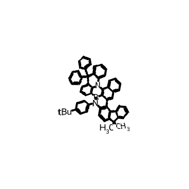 CC(C)(C)c1ccc(N2B3c4cccc5c4N(c4ccccc4C5(c4ccccc4)c4ccccc4)c4c3c(cc3ccccc43)-c3c2ccc2c3-c3ccccc3C2(C)C)cc1